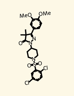 COc1ccc(C2=NN(C3CCN(S(=O)(=O)c4cc(Cl)ccc4Cl)CC3)C(=O)C2(C)C)cc1OC